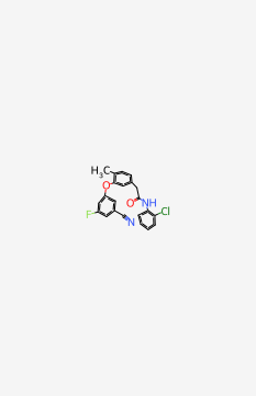 Cc1ccc(CC(=O)Nc2ccccc2Cl)cc1Oc1cc(F)cc(C#N)c1